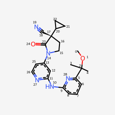 COC(C)(C)c1cccc(Nc2cc(N3CC[C@@](C#N)(C4CC4)C3=O)ccn2)n1